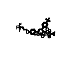 CC(C)(C)c1ccc(C2C=C(c3ccc(OCCCC(F)(F)F)cc3)NC(=O)C2C(=O)NS(=O)(=O)C2CC2)cc1